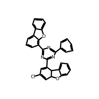 ClC1=CC2Oc3ccccc3C2C(c2nc(-c3ccccc3)nc(-c3cccc4c3oc3ccccc34)n2)=C1